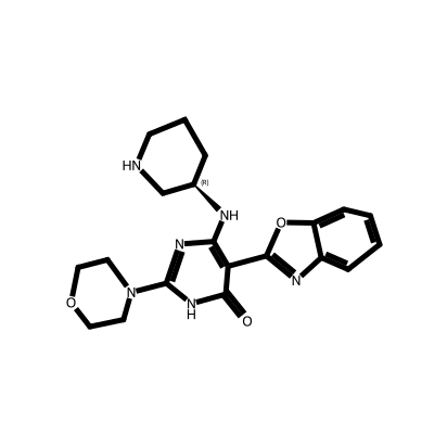 O=c1[nH]c(N2CCOCC2)nc(N[C@@H]2CCCNC2)c1-c1nc2ccccc2o1